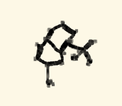 Cc1cnc2cccc(S(=O)(=O)Cl)c2c1